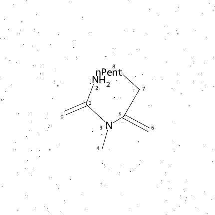 C=C(N)N(C)C(=C)CCCCCC